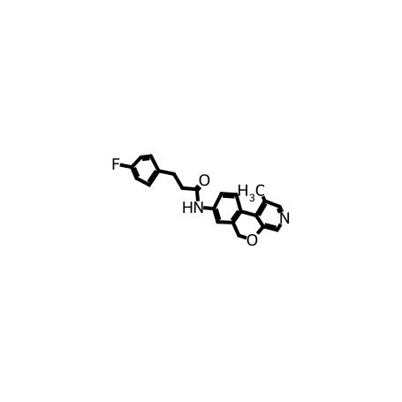 Cc1cncc2c1-c1ccc(NC(=O)CCc3ccc(F)cc3)cc1CO2